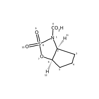 O=C(O)N1[C@H]2CCC[C@H]2OS1(=O)=O